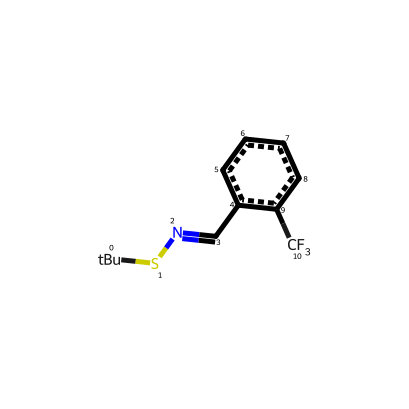 CC(C)(C)S/N=C/c1ccccc1C(F)(F)F